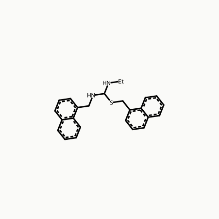 CCNC(NCc1cccc2ccccc12)SCc1cccc2ccccc12